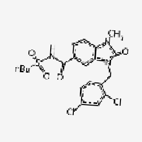 CCCCS(=O)(=O)NC(=O)c1ccc2c(c1)n(Cc1ccc(Cl)cc1Cl)c(=O)n2C